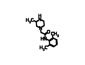 Cc1cccc(C)c1NC(=O)CN1CCNC(C)C1